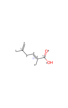 C=C(C)C/C=C(\C)C(=O)O